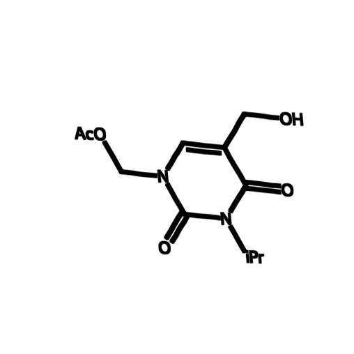 CC(=O)OCn1cc(CO)c(=O)n(C(C)C)c1=O